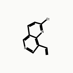 C=Cc1cncc2ccc(CC)nc12